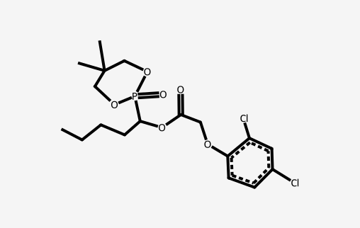 CCCCC(OC(=O)COc1ccc(Cl)cc1Cl)P1(=O)OCC(C)(C)CO1